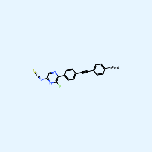 CCCCCc1ccc(C#Cc2ccc(-c3ncc(N=C=S)nc3F)cc2)cc1